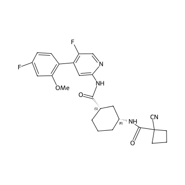 COc1cc(F)ccc1-c1cc(NC(=O)[C@H]2CCC[C@@H](NC(=O)C3(C#N)CCC3)C2)ncc1F